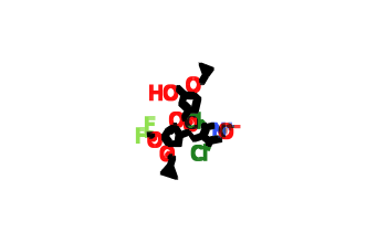 O=C(O[C@@H](Cc1c(Cl)c[n+]([O-])cc1Cl)c1ccc(OC(F)F)c(OCC2CC2)c1)c1ccc(OCC2CC2)c(CO)c1